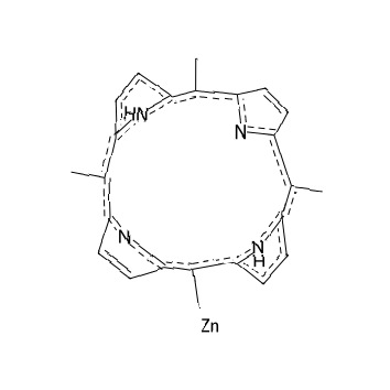 Cc1c2nc(c(C)c3ccc([nH]3)c(C)c3nc(c(C)c4ccc1[nH]4)C=C3)C=C2.[Zn]